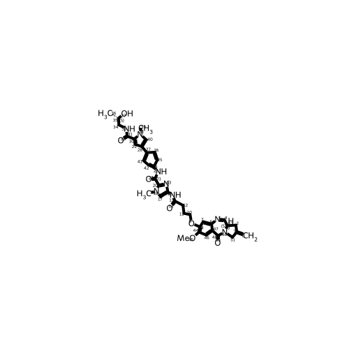 C=C1C[C@H]2C=Nc3cc(OCCCC(=O)Nc4cn(C)c(C(=O)Nc5ccc(-c6cc(C(=O)NC[C@H](C)O)n(C)c6)cc5)n4)c(OC)cc3C(=O)N2C1